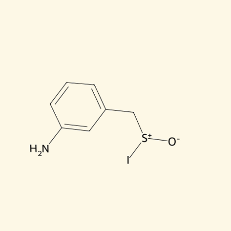 Nc1cccc(C[S+]([O-])I)c1